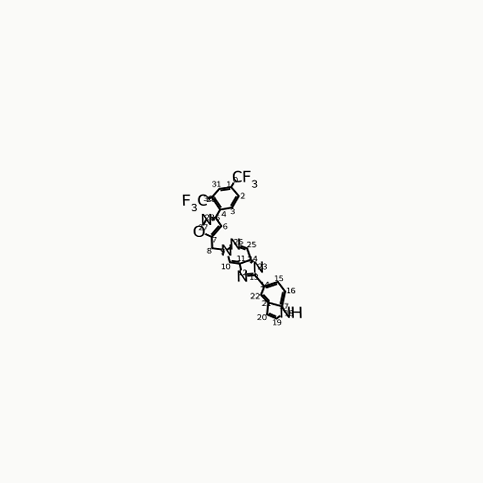 FC(F)(F)c1ccc(-c2cc(Cn3cc4nc(-c5ccc6[nH]ccc6c5)nc-4cn3)on2)c(C(F)(F)F)c1